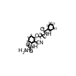 CC(C)(COc1cccc(NS(N)(=O)=O)c1C#N)NC(=O)c1ccccc1